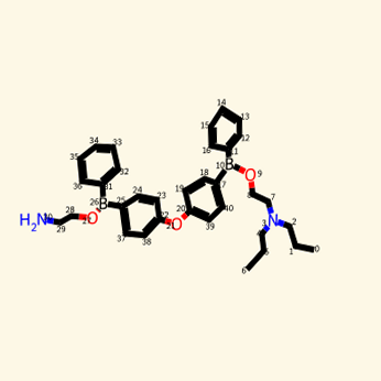 CCCN(CCC)CCOB(c1ccccc1)c1ccc(Oc2ccc(B(OCCN)c3ccccc3)cc2)cc1